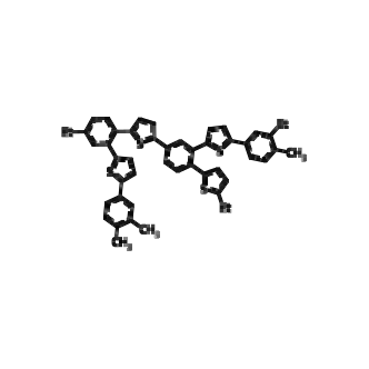 CCc1ccc(-c2ccc(-c3ccc(-c4ccc(CC)s4)c(-c4ccc(-c5ccc(C)c(CC)c5)s4)c3)s2)c(-c2ccc(-c3ccc(C)c(C)c3)s2)c1